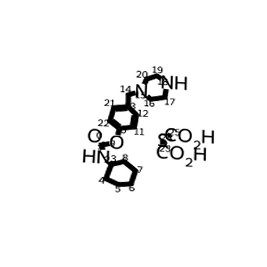 O=C(NC1CCCCC1)Oc1ccc(CN2CCNCC2)cc1.O=C(O)SC(=O)O